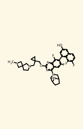 CN1CC2(CCN(CC3(COc4nc(N5CC6CCC(C5)N6)c5cc(F)c(-c6cc(O)cc7ccc(F)c(F)c67)c(F)c5n4)CC3)C2)C1